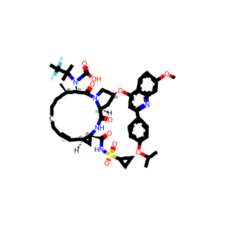 COc1ccc2c(O[C@@H]3C[C@H]4C(=O)N[C@]5(C(=O)NS(=O)(=O)C6CC6)C[C@H]5/C=C\CCCC[C@@H](C)[C@H](N(C(=O)O)C(C)(C)C(C)(F)F)C(=O)N4C3)cc(-c3ccc(OC(C)C)cc3)nc2c1